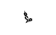 C#CC(OC1CCCCC1)C(O)CN1CCN(c2ccc(F)cc2)CC1